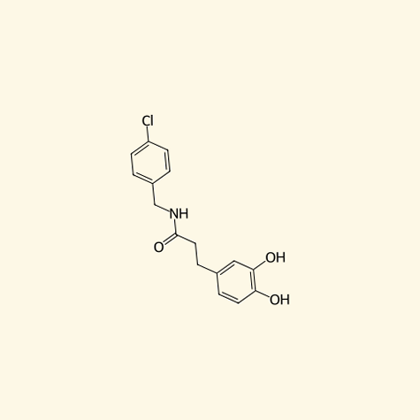 O=C(CCc1ccc(O)c(O)c1)NCc1ccc(Cl)cc1